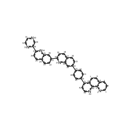 c1cnc2c(c1)ccc1c(-c3ccc(-c4ccc5ccc(-c6ccc7ccc(-c8cnccn8)nc7c6)nc5c4)cc3)ccnc12